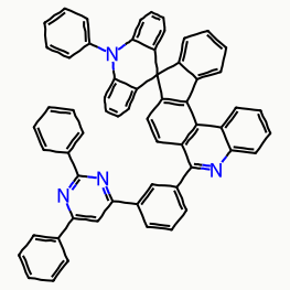 c1ccc(-c2cc(-c3cccc(-c4nc5ccccc5c5c6c(ccc45)C4(c5ccccc5-6)c5ccccc5N(c5ccccc5)c5ccccc54)c3)nc(-c3ccccc3)n2)cc1